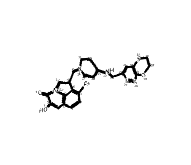 O=c1c(O)cc2ccc(F)c3c2n1CC3CN1CCC(NCc2cc3c(nn2)OCCS3)CC1